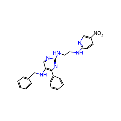 O=[N+]([O-])c1ccc(NCCNc2ncc(NCc3ccccc3)c(-c3ccccc3)n2)nc1